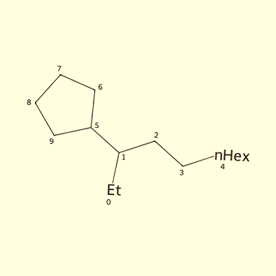 [CH2]CC(CCCCCCCC)C1CCCC1